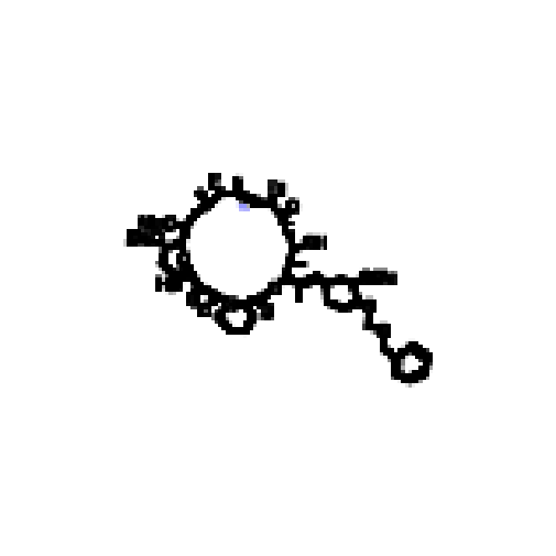 CCC1/C=C(\C)C(F)C(C)CC(OC)C2OC(O)(C(=O)C(=O)N3CCCCC3C(=O)OC(C(C)=CC3CCC(OCOCc4ccccc4)C(OC)C3)C(C)C(O)CC1=O)C(C)CC2OC